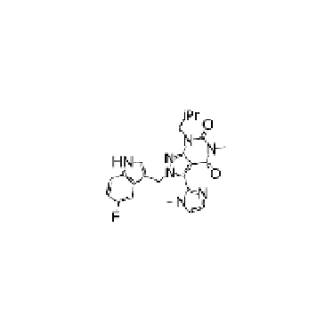 CC(C)Cn1c(=O)n(C)c(=O)c2c(-c3nccn3C)n(Cc3c[nH]c4ccc(F)cc34)nc21